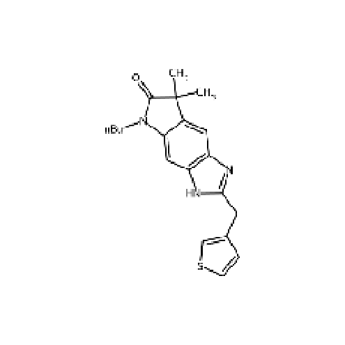 CCCCN1C(=O)C(C)(C)c2cc3nc(Cc4ccsc4)[nH]c3cc21